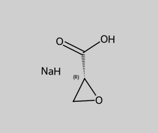 O=C(O)[C@H]1CO1.[NaH]